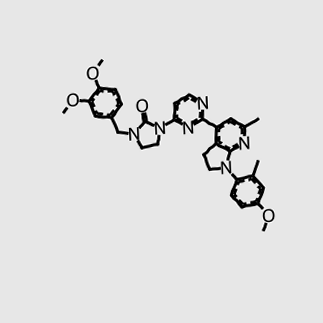 COc1ccc(N2CCc3c(-c4nccc(N5CCN(Cc6ccc(OC)c(OC)c6)C5=O)n4)cc(C)nc32)c(C)c1